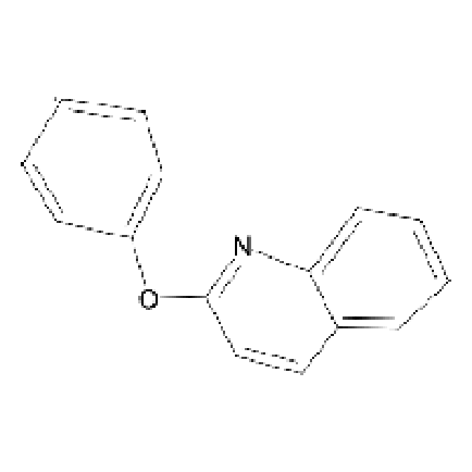 [c]1ccc(Oc2ccc3ccccc3n2)cc1